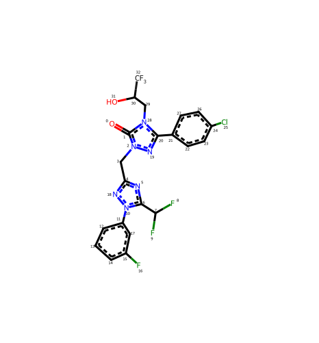 O=c1n(Cc2nc(C(F)F)n(-c3cccc(F)c3)n2)nc(-c2ccc(Cl)cc2)n1CC(O)C(F)(F)F